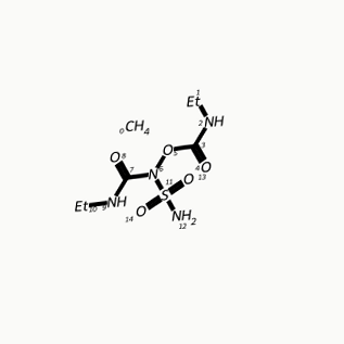 C.CCNC(=O)ON(C(=O)NCC)S(N)(=O)=O